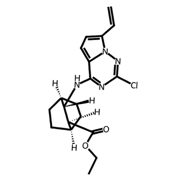 C=Cc1ccc2c(N[C@H]3[C@H]4CC[C@H](CC4)[C@@H]3C(=O)OCC)nc(Cl)nn12